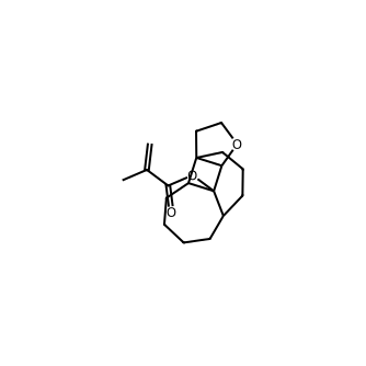 C=C(C)C(=O)OC12C3CCCCC1C1(CCC3)CCOC12